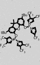 CC(C)(C)c1cc(OP(n2ccc(C(F)(F)F)c2)n2cc(C(F)(F)F)c(C(F)(F)F)c2)c2c(c1)C(C)(C)c1cc(C(C)(C)C)cc(OP(n3cc(C(F)(F)F)c(C(F)(F)F)c3)n3cc(C(F)(F)F)c(C(F)(F)F)c3)c1O2